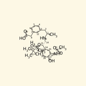 C[C@H](Cc1cccc(CC(=O)O)c1)NC[C@@H](O[Si](C)(C)C(C)(C)C)c1ccc(O)c(NS(C)(=O)=O)c1